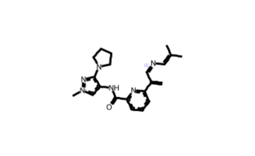 C=C(/C=N\C=C(C)C)c1cccc(C(=O)Nc2cn(C)nc2N2CCCC2)n1